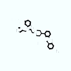 CC1(c2ccc(C#N)cc2F)Oc2cccc(C3CCN(Cc4nc5ccc(C(=O)O)cc5n4Cc4cncs4)CC3)c2O1